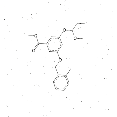 CCC(OC)Oc1cc(OCc2ccccc2C)cc(C(=O)OC)c1